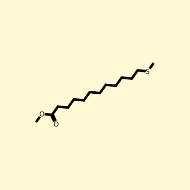 COC(=O)CCCCCCCCCCCSC